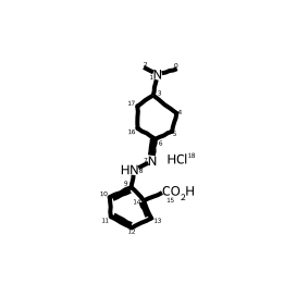 CN(C)C1CCC(=NNc2ccccc2C(=O)O)CC1.Cl